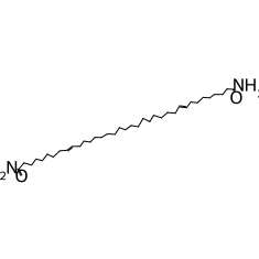 NC(=O)CCCCCCCC=CCCCCCCCCCCCCCCCCCC=CCCCCCCCC(N)=O